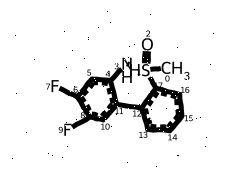 C[SH]1(=O)Nc2cc(F)c(F)cc2-c2ccccc21